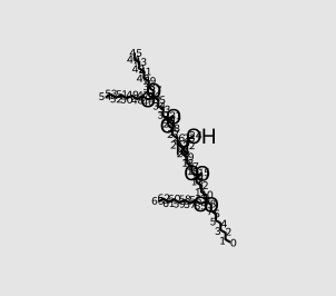 CCCCCCCCOC(CCCCC(=O)OCCCCN(CCO)CCCCOC(=O)CCCCC(OCCCCCCCC)OCCCCCCCC)OCCCCCCCC